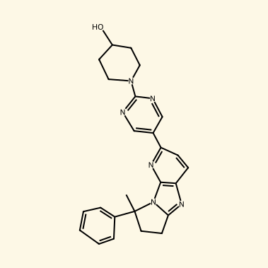 CC1(c2ccccc2)CCc2nc3ccc(-c4cnc(N5CCC(O)CC5)nc4)nc3n21